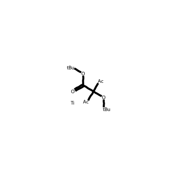 CC(=O)C(OC(C)(C)C)(C(C)=O)C(=O)OC(C)(C)C.[Ti]